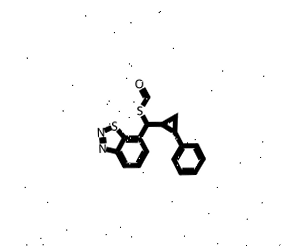 O=CSC(c1cccc2nnsc12)C1CC1c1ccccc1